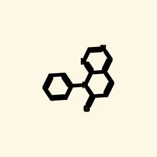 O=c1ccc2cncnc2n1-c1ccccc1